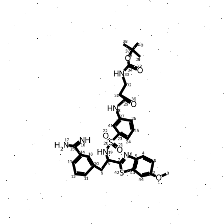 COc1ccc2nc(C(Cc3cccc(C(=N)N)c3)NS(=O)(=O)c3cccc(NC(=O)CCNC(=O)OC(C)(C)C)c3)sc2c1